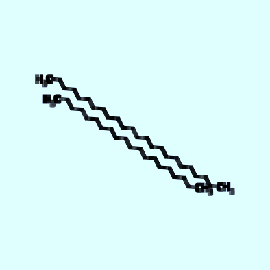 CCCCCCCCCCCCCCCCCCCC.CCCCCCCCCCCCCCCCCCCCCCCC